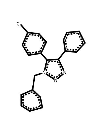 Clc1ccc(-c2c(-c3ccccc3)nnn2Cc2ccccc2)cc1